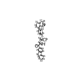 Cl.O=C(NCCCCN1CCN(c2cccc3ccncc23)CC1)c1ccc2c(c1)Cc1ccccc1-2